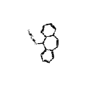 S=C=NC1c2ccccc2C=CC2C=CC=CC21